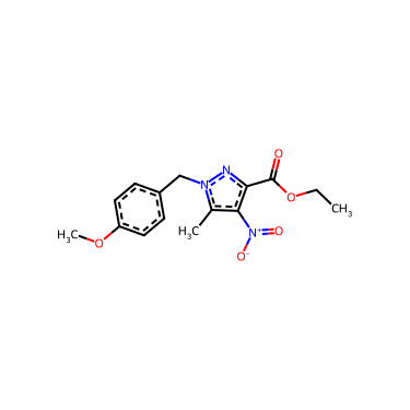 CCOC(=O)c1nn(Cc2ccc(OC)cc2)c(C)c1[N+](=O)[O-]